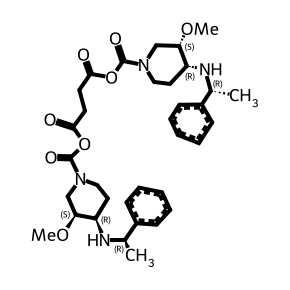 CO[C@H]1CN(C(=O)OC(=O)CCC(=O)OC(=O)N2CC[C@@H](N[C@H](C)c3ccccc3)[C@@H](OC)C2)CC[C@H]1N[C@H](C)c1ccccc1